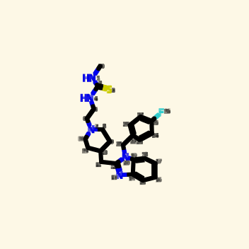 CNC(=S)NCCN1CCC(Cc2nc3ccccc3n2Cc2ccc(F)cc2)CC1